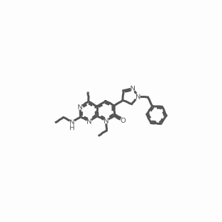 CCNc1nc(C)c2cc(C3C=NN(Cc4ccccc4)C3)c(=O)n(CC)c2n1